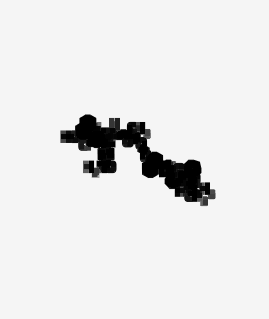 CN[C@@H](C)C(=O)NC(C(=O)N1CCC[C@H]1c1nc(-c2ccc(OCCOCCN(C)C(=O)CCNc3nc(N4CCN(C(N)=O)CC4)c4cc(Cl)c(-c5cc(O)cc6ccccc56)c(F)c4n3)c3ccccc23)cs1)C1CCCCC1